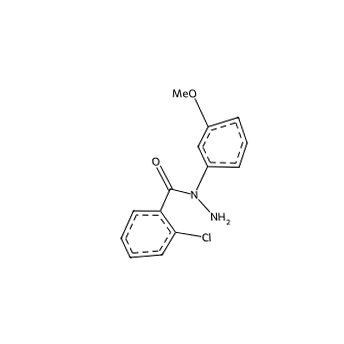 COc1cccc(N(N)C(=O)c2ccccc2Cl)c1